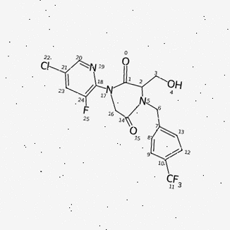 O=C1C(CO)N(Cc2ccc(C(F)(F)F)cc2)C(=O)CN1c1ncc(Cl)cc1F